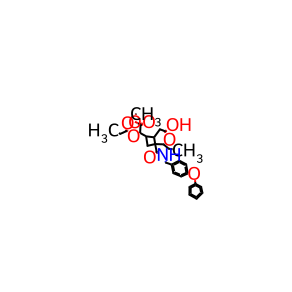 CCCC1(C(=O)NCc2ccc(Oc3ccccc3)cc2)CC(C(OC(=O)CC)C(=O)OC)C1CC(=O)O